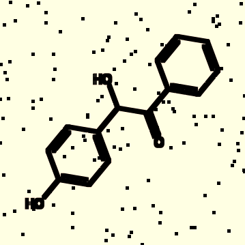 O=C(c1ccccc1)C(O)c1ccc(O)cc1